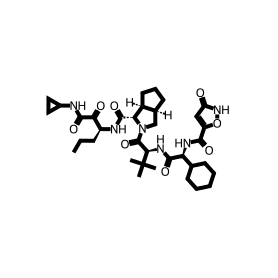 CCC[C@H](NC(=O)[C@@H]1[C@H]2CCC[C@H]2CN1C(=O)[C@@H](NC(=O)[C@@H](NC(=O)c1cc(=O)[nH]o1)C1CCCCC1)C(C)(C)C)C(=O)C(=O)NC1CC1